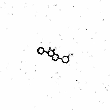 O=c1[nH]c(-c2ccccc2)cc2ccc(N3CCCC(O)C3)cc12